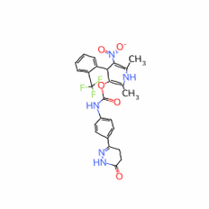 CC1=C(OC(=O)Nc2ccc(C3=NNC(=O)CC3)cc2)C(c2ccccc2C(F)(F)F)C([N+](=O)[O-])=C(C)N1